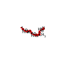 Cc1ccc(-c2ccc(NC(=O)CCCc3ccc(-c4cccc(-c5ccc(NC(=O)CCCc6ccc(C7CC7)cc6)cn5)c4)cc3)cn2)cc1-c1ccc(CCCC(=O)Nc2cccnc2)cc1